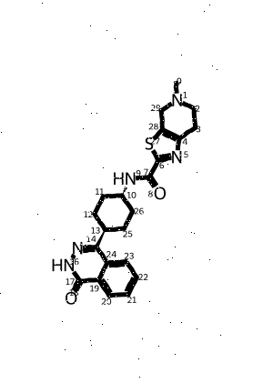 CN1CCc2nc(C(=O)N[C@H]3CC[C@H](c4n[nH]c(=O)c5ccccc54)CC3)sc2C1